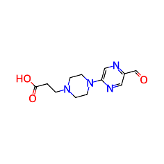 O=Cc1cnc(N2CCN(CCC(=O)O)CC2)cn1